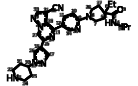 CCC1(C(=O)NC(C)C)CCN(c2ccc(-c3nc(-c4cnn(C5CCNCC5)c4)cn4ncc(C#N)c34)cn2)CC1